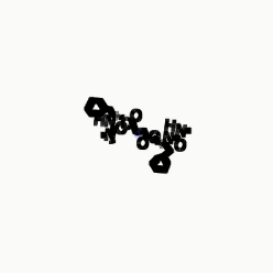 CN(C)C(=O)N[C@@H](COC(=O)/C=C/C(=O)OC[C@@H](Cc1ccccc1)NC(=O)N(C)C)Cc1ccccc1